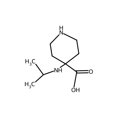 CC(C)NC1(C(=O)O)CCNCC1